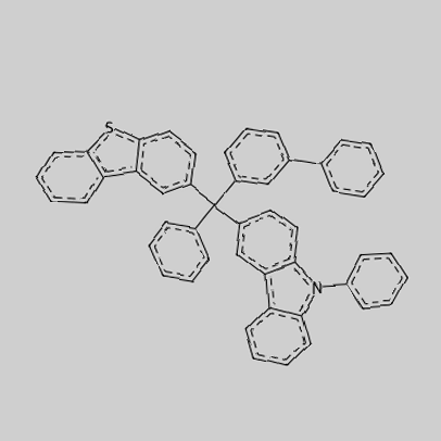 c1ccc(-c2cccc(C(c3ccccc3)(c3ccc4sc5ccccc5c4c3)c3ccc4c(c3)c3ccccc3n4-c3ccccc3)c2)cc1